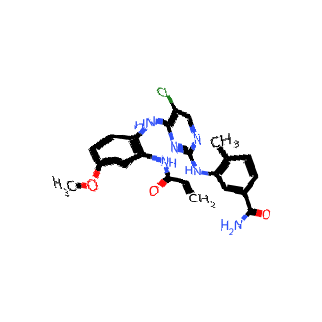 C=CC(=O)Nc1cc(OC)ccc1Nc1nc(Nc2cc(C(N)=O)ccc2C)ncc1Cl